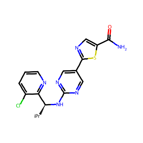 CC(C)[C@H](Nc1ncc(-c2ncc(C(N)=O)s2)cn1)c1ncccc1Cl